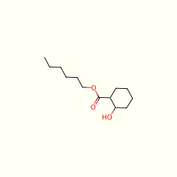 CCCCCCOC(=O)C1CCCCC1O